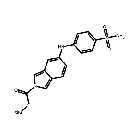 CC(C)(C)OC(=O)n1cc2ccc(Nc3ccc(S(N)(=O)=O)cc3)cc2c1